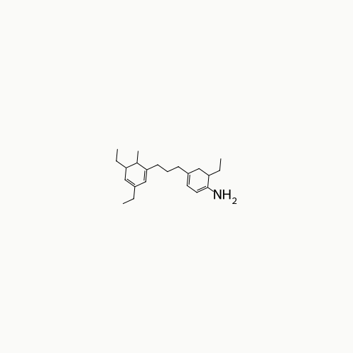 CCC1=CC(CC)C(C)C(CCCC2=CC=C(N)C(CC)C2)=C1